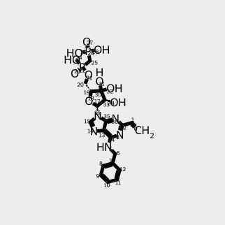 C=Cc1nc(NCc2ccccc2)c2ncn([C@@H]3O[C@H](COP(=O)(O)CP(=O)(O)O)C(O)(O)[C@H]3O)c2n1